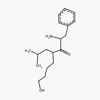 CC(C)CN(CCCCO)C(=O)C(N)Cc1ccccc1